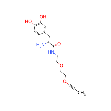 CC#COCCOCCNC(=O)C(N)Cc1ccc(O)c(O)c1